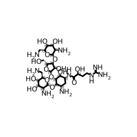 N=C(N)NCC[C@H](O)C(=O)N[C@@H]1C[C@H](N)[C@@H](O[C@H]2O[C@H](CN)[C@@H](O)[C@@H](O)[C@H]2N)[C@H](O[C@@H]2O[C@H](CO)[C@@H](O[C@H]3O[C@@H](CN)[C@@H](O)[C@H](O)[C@H]3N)[C@H]2O)[C@H]1O